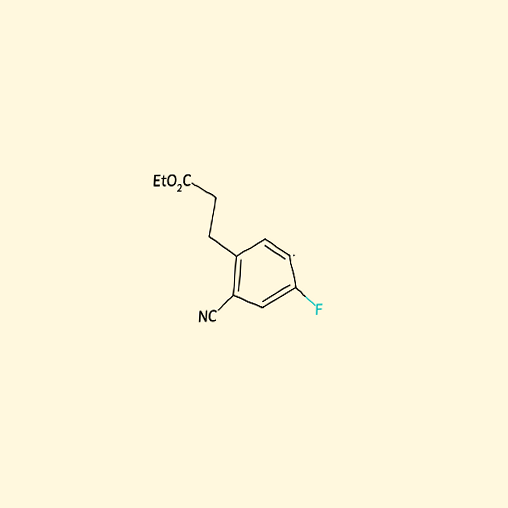 CCOC(=O)CCc1c[c]c(F)cc1C#N